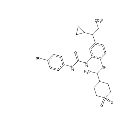 CC(Nc1ccc(C(CC(=O)O)C2CC2)cc1NC(=O)Nc1ccc(C#N)cc1)C1CCS(=O)(=O)CC1